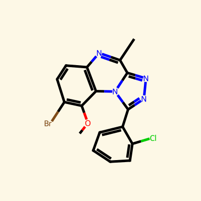 COc1c(Br)ccc2nc(C)c3nnc(-c4ccccc4Cl)n3c12